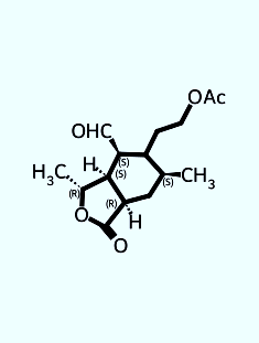 CC(=O)OCCC1[C@@H](C)C[C@H]2C(=O)O[C@H](C)[C@H]2[C@H]1C=O